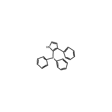 c1ccc(-c2cc[nH]c2P(c2ccccc2)c2ccccc2)cc1